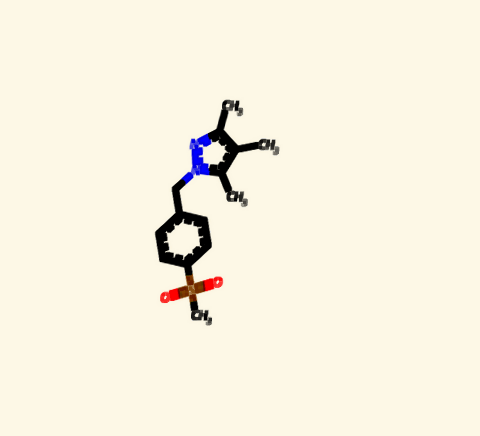 Cc1nn(Cc2ccc(S(C)(=O)=O)cc2)c(C)c1C